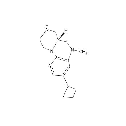 CN1C[C@H]2CNCCN2c2ncc(C3CCC3)cc21